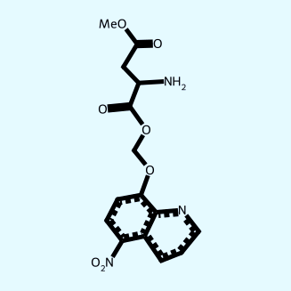 COC(=O)CC(N)C(=O)OCOc1ccc([N+](=O)[O-])c2cccnc12